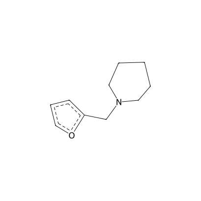 c1coc(CN2CCCCC2)c1